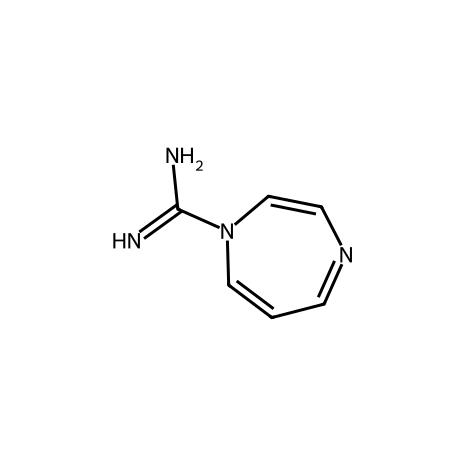 N=C(N)N1C=CC=NC=C1